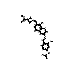 COc1cc(OC(C)C)ccc1COc1ccc2c(c1)CCC(CN1CC(C(=O)O)C1)=C2C